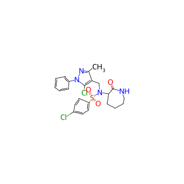 Cc1nn(-c2ccccc2)c(Cl)c1CN(C1CCCCNC1=O)S(=O)(=O)c1ccc(Cl)cc1